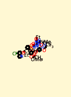 CCOc1nc(NC)nc(NC(=O)NS(=O)(=O)c2ccccc2C(=O)O)n1.CCc1ccc(COc2ccc(-n3c(=O)cc(C(F)(F)F)n(C)c3=O)cc2)c(OC(C)C(=O)OC)c1.O=C(O)COc1ccc(Cl)c2cccnc12